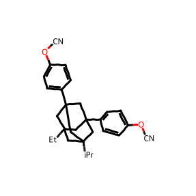 CCC12CC3(c4ccc(OC#N)cc4)CC(c4ccc(OC#N)cc4)(C1)CC(C(C)C)(C2)C3